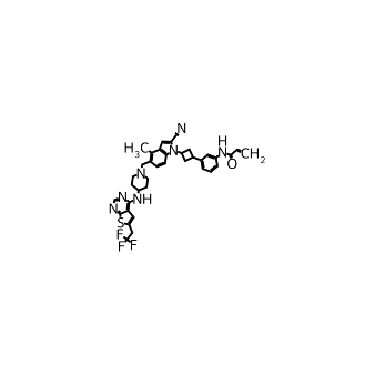 C=CC(=O)Nc1cccc(C2CC(n3c(C#N)cc4c(C)c(CN5CCC(Nc6ncnc7sc(CC(F)(F)F)cc67)CC5)ccc43)C2)c1